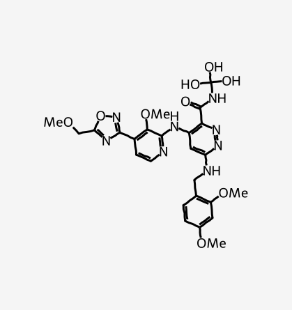 COCc1nc(-c2ccnc(Nc3cc(NCc4ccc(OC)cc4OC)nnc3C(=O)NC(O)(O)O)c2OC)no1